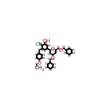 CCOc1ccc(Cc2cc(C3CC(OCc4ccccc4)CC(COCc4ccccc4)O3)cc(O)c2Cl)cc1